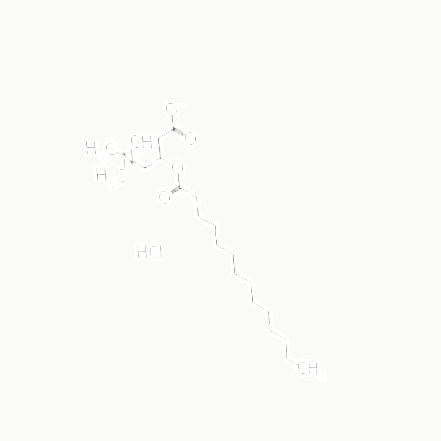 CCCCCCCCCCCCCC(=O)OC(CC(=O)[O-])C[N+](C)(C)C.Cl